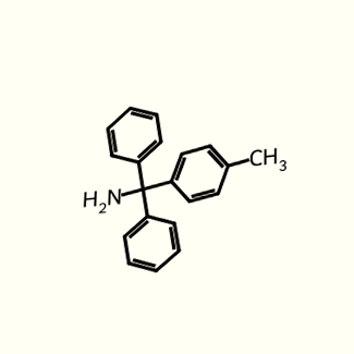 Cc1ccc(C(N)(c2ccccc2)c2ccccc2)cc1